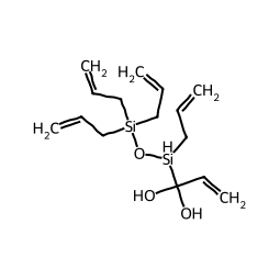 C=CC[SiH](O[Si](CC=C)(CC=C)CC=C)C(O)(O)C=C